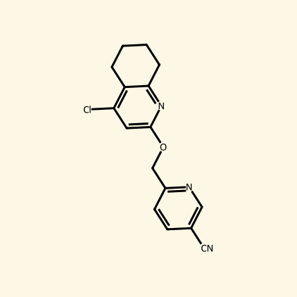 N#Cc1ccc(COc2cc(Cl)c3c(n2)CCCC3)nc1